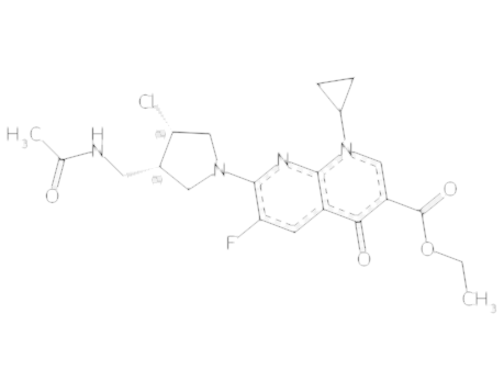 CCOC(=O)c1cn(C2CC2)c2nc(N3C[C@H](CNC(C)=O)[C@H](Cl)C3)c(F)cc2c1=O